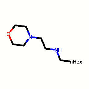 CCCCCCCNCCN1CCOCC1